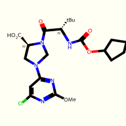 COc1nc(Cl)cc(N2C[C@@H](C(=O)O)N(C(=O)[C@@H](NC(=O)OC3CCCC3)C(C)(C)C)C2)n1